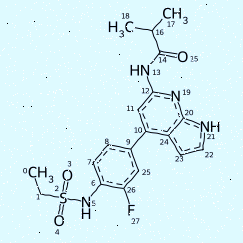 CCS(=O)(=O)Nc1ccc(-c2cc(NC(=O)C(C)C)nc3[nH]ccc23)cc1F